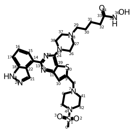 CS(=O)(=O)N1CCN(Cc2cc3nc(-c4cccc5[nH]ncc45)nc(N4CCN(CCCCC(=O)NO)CC4)c3s2)CC1